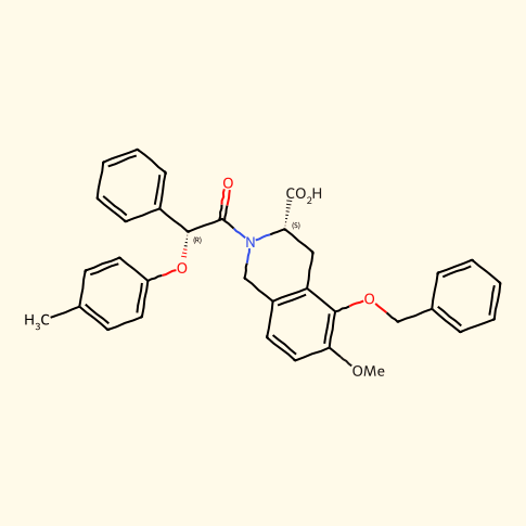 COc1ccc2c(c1OCc1ccccc1)C[C@@H](C(=O)O)N(C(=O)[C@H](Oc1ccc(C)cc1)c1ccccc1)C2